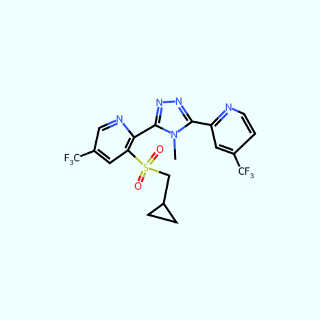 Cn1c(-c2cc(C(F)(F)F)ccn2)nnc1-c1ncc(C(F)(F)F)cc1S(=O)(=O)CC1CC1